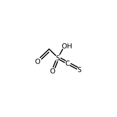 O=CS(=O)(O)=C=S